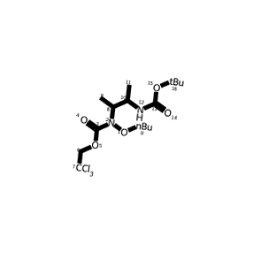 CCCCON(C(=O)OCC(Cl)(Cl)Cl)C(C)C(C)NC(=O)OC(C)(C)C